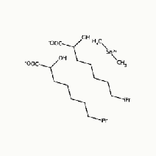 CC(C)CCCCCC(O)C(=O)[O-].CC(C)CCCCCC(O)C(=O)[O-].[CH3][Sn+2][CH3]